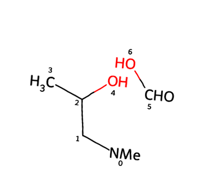 CNCC(C)O.O=CO